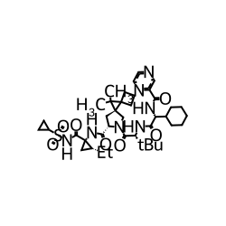 CC[C@@H]1C[C@]1(NC(=O)[C@@H]1C[C@@]2(CN1C(=O)[C@@H](NC(=O)[C@@H](NC(=O)c1cnccn1)C1CCCCC1)C(C)(C)C)C(C)(C)C21CCC1)C(=O)NS(=O)(=O)C1CC1